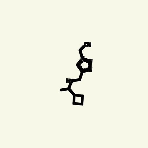 CC(NCc1cn(CC#N)nn1)C1CCC1